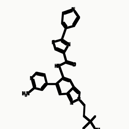 CC(C)(O)CCn1cc2cc(NC(=O)c3csc(-c4ccncc4)n3)c(-c3ccnc(N)c3)cc2n1